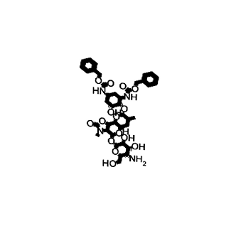 CC1C[C@@H]2OC(O[C@H]3OC(CO)[C@@H](N)[C@H](O)C3O)C3C(OC(=O)N3C)C2O[C@@H]1O[C@@H]1C(NC(=O)OCc2ccccc2)C[C@@H](NC(=O)OCc2ccccc2)C[C@H]1O